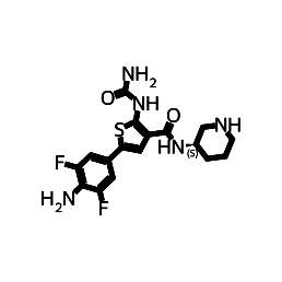 NC(=O)Nc1sc(-c2cc(F)c(N)c(F)c2)cc1C(=O)N[C@H]1CCCNC1